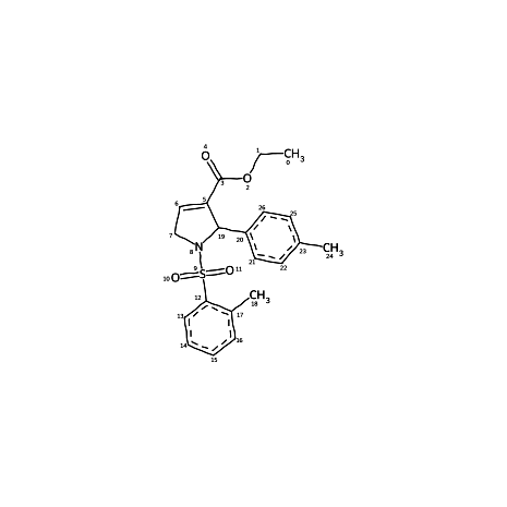 CCOC(=O)C1=CCN(S(=O)(=O)c2ccccc2C)C1c1ccc(C)cc1